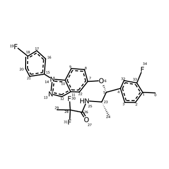 Cc1ccc([C@@H](Oc2ccc3c(cnn3-c3ccc(F)cc3)c2)[C@H](C)NC(=O)C(C)(F)F)cc1F